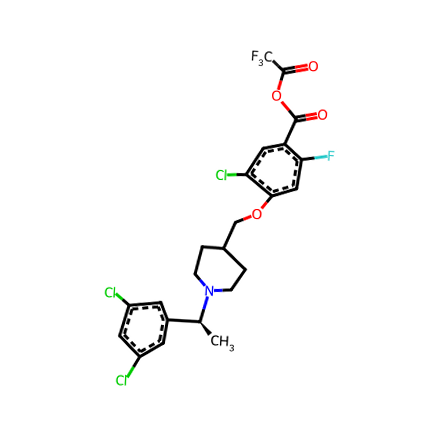 C[C@@H](c1cc(Cl)cc(Cl)c1)N1CCC(COc2cc(F)c(C(=O)OC(=O)C(F)(F)F)cc2Cl)CC1